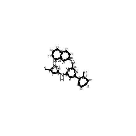 Cc1cc(Nc2cc(-c3ccccc3C)nc(Oc3ccc4ccccc4c3)n2)n[nH]1